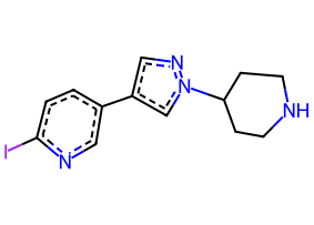 Ic1ccc(-c2cnn(C3CCNCC3)c2)cn1